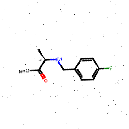 COC(=O)[C@@H](C)NCc1ccc(F)cc1